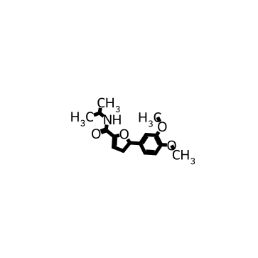 COc1ccc(C2CC=C(C(=O)NC(C)C)O2)cc1OC